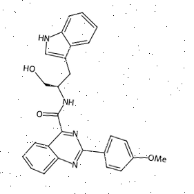 COc1ccc(-c2nc(C(=O)N[C@@H](CO)Cc3c[nH]c4ccccc34)c3ccccc3n2)cc1